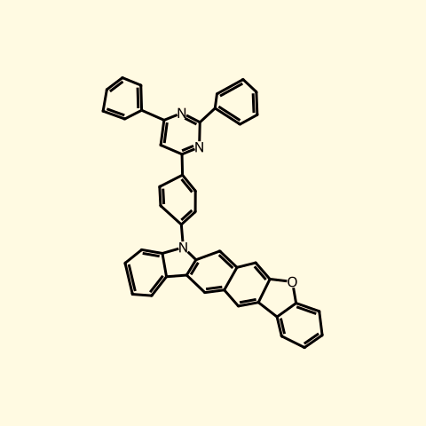 c1ccc(-c2cc(-c3ccc(-n4c5ccccc5c5cc6cc7c(cc6cc54)oc4ccccc47)cc3)nc(-c3ccccc3)n2)cc1